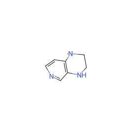 c1cc2c(cn1)NCC[N]2